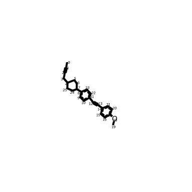 CC#CCC1CCC(c2ccc(C#Cc3ccc(OC)cc3)cc2)CC1